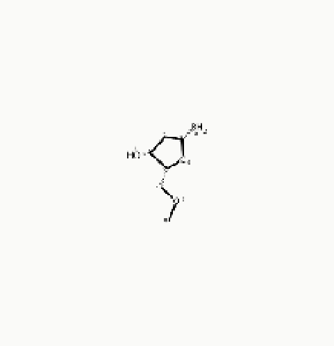 B[C@H]1C[C@@H](O)[C@@H](COC)O1